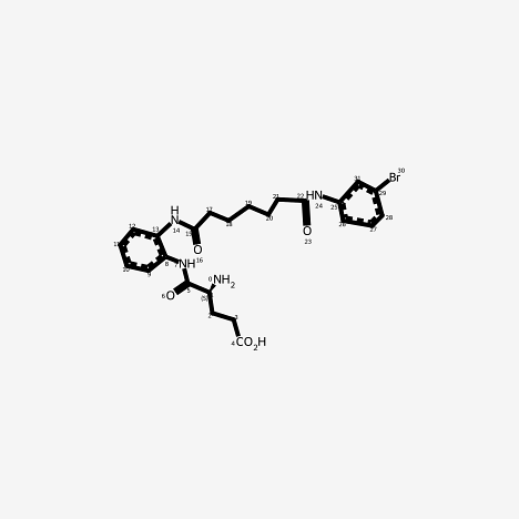 N[C@@H](CCC(=O)O)C(=O)Nc1ccccc1NC(=O)CCCCCC(=O)Nc1cccc(Br)c1